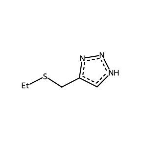 CCSCc1c[nH]nn1